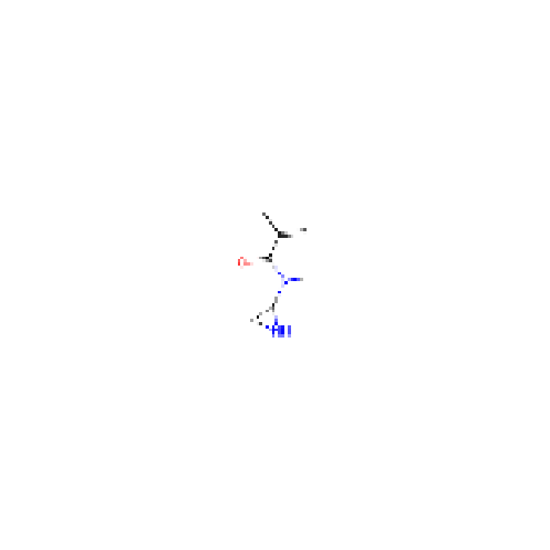 C=C(C)C(=O)N(C)C1CN1